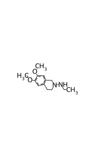 CCNN1CCc2cc(OC)c(OC)cc2C1